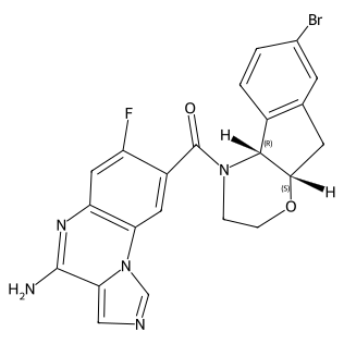 Nc1nc2cc(F)c(C(=O)N3CCO[C@H]4Cc5cc(Br)ccc5[C@H]43)cc2n2cncc12